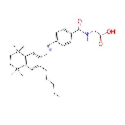 CCCCCCc1cc2c(cc1/C=C/c1ccc(C(=O)NCC(=O)O)cc1)C(C)(C)CCC2(C)C